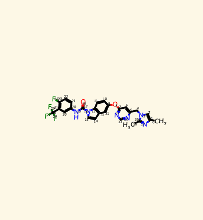 Cc1cn(Cc2cc(Oc3ccc4c(ccn4C(=O)Nc4ccc(F)c(C(F)(F)F)c4)c3)ncn2)c(C)n1